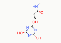 C=CC(=O)NC.Oc1nc(O)nc(O)n1